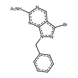 CC(=O)Nc1ncc2c(Br)nn(Cc3ccccc3)c2n1